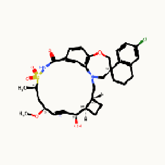 CO[C@@H]1/C=C/[C@H](O)[C@@H]2CC[C@H]2CN2C[C@@]3(CCCc4cc(Cl)ccc43)COc3ccc(cc32)C(=O)NS(=O)(=O)[C@H](C)C1